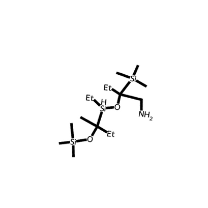 CC[SiH](OC(CC)(CN)[Si](C)(C)C)C(C)(CC)O[Si](C)(C)C